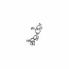 CC(C)C1CN(C(=O)Cc2c[nH]c(=O)[nH]c2=O)CCC(=O)N1CC1CC1